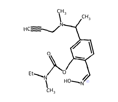 C#CCN(C)C(C)c1ccc(/C=N\O)c(OC(=O)N(C)CC)c1